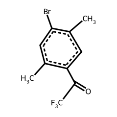 Cc1cc(C(=O)C(F)(F)F)c(C)cc1Br